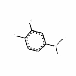 CC(C)N(c1ccc([N+](=O)[O-])c(O)c1)C(C)C